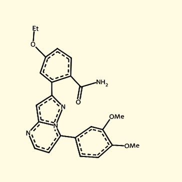 CCOc1ccc(C(N)=O)c(-c2cc3nccc(-c4ccc(OC)c(OC)c4)n3n2)c1